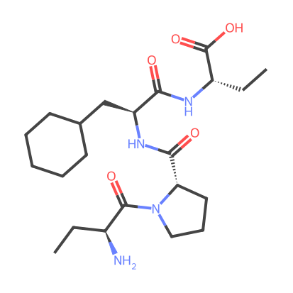 CC[C@H](NC(=O)[C@H](CC1CCCCC1)NC(=O)[C@@H]1CCCN1C(=O)[C@@H](N)CC)C(=O)O